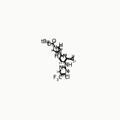 CC(C)(C)OC(=O)N1C[C@H]2C[C@@H]1CN2c1ccc(Nc2ncc(C(F)(F)F)c(Cl)n2)c(C2CC2)n1